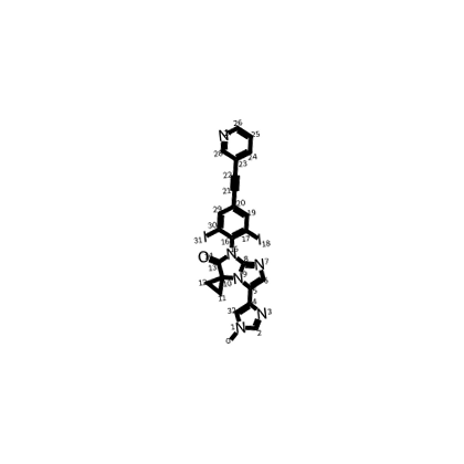 Cn1cnc(-c2cnc3n2C2(CC2)C(=O)N3c2c(I)cc(C#Cc3cccnc3)cc2I)c1